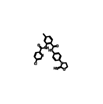 Cc1ccc(C(=O)Nc2ccc(N3CCOC3=N)cc2)c(NC(=O)c2ccc(Cl)cn2)c1